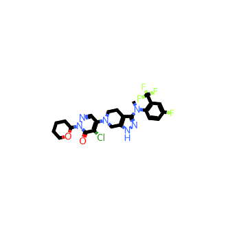 CN(c1ccc(F)cc1C(F)(F)F)c1n[nH]c2c1CCN(c1cnn(C3CCCCO3)c(=O)c1Cl)C2